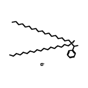 CCCCCCCCCCCCCCCCCC[N+](C)(CCCCCCCCCCCCCCCCCC)C(C)c1ccccc1.[Cl-]